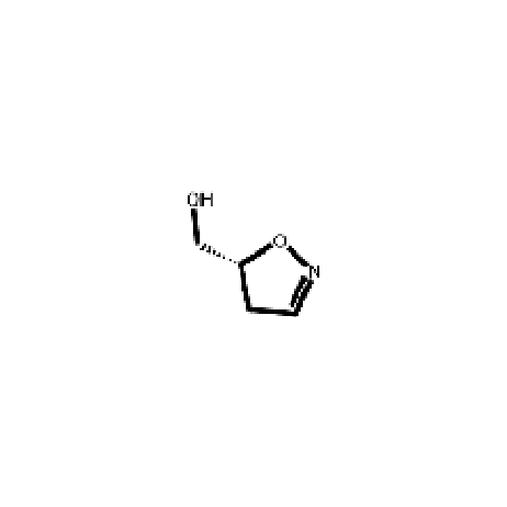 OC[C@H]1CC=NO1